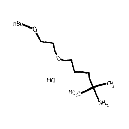 CCCCOCCOCCCC(C)(N)C(=O)O.Cl